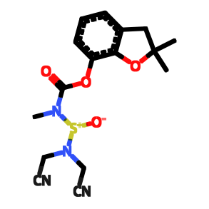 CN(C(=O)Oc1cccc2c1OC(C)(C)C2)[S+]([O-])N(CC#N)CC#N